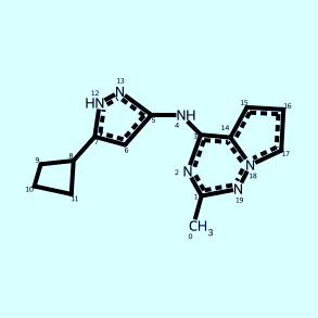 Cc1nc(Nc2cc(C3CCC3)[nH]n2)c2cccn2n1